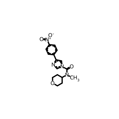 CN(C(=O)n1cnc(-c2ccc([N+](=O)[O-])cc2)c1)C1CCOCC1